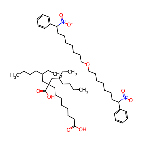 CCCCC(CC)CC(CCCCCCCC(=O)O)(CC(CC)CCCC)C(=O)O.O=[N+]([O-])C(CCCCCCCOCCCCCCCC(c1ccccc1)[N+](=O)[O-])c1ccccc1